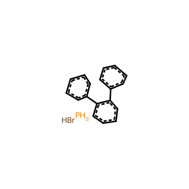 Br.P.c1ccc(-c2ccccc2-c2ccccc2)cc1